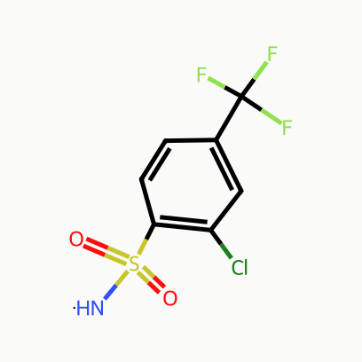 [NH]S(=O)(=O)c1ccc(C(F)(F)F)cc1Cl